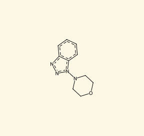 c1ccc2c(c1)nnn2N1CCOCC1